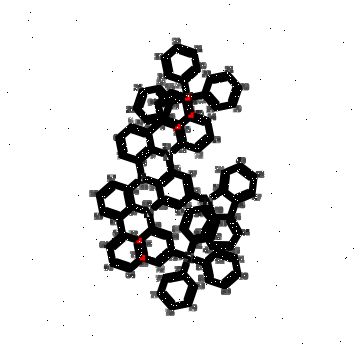 c1ccc(-c2cccc3c2N(c2cccc([Si](c4ccccc4)(c4ccccc4)c4ccccc4)c2)c2cc(-n4c5ccccc5c5ccccc54)cc4c2B3c2cccc(-c3ccccc3)c2N4c2cccc([Si](c3ccccc3)(c3ccccc3)c3ccccc3)c2)cc1